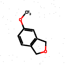 FC(F)(F)Oc1ccc2c(c1)COC2